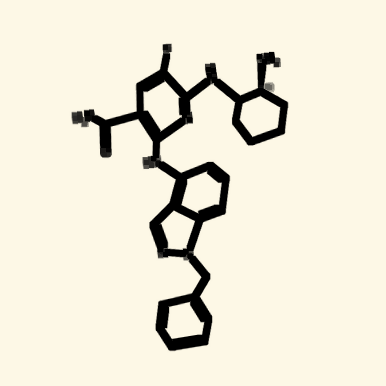 NC(=O)c1cc(F)c(NC2CCCC[C@@H]2N)nc1Nc1cccc2c1cnn2Cc1ccccc1